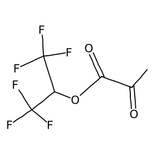 CC(=O)C(=O)OC(C(F)(F)F)C(F)(F)F